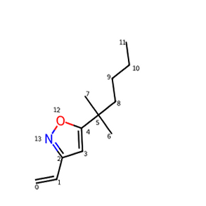 C=Cc1cc(C(C)(C)CCCC)on1